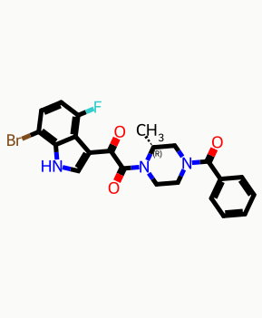 C[C@@H]1CN(C(=O)c2ccccc2)CCN1C(=O)C(=O)c1c[nH]c2c(Br)ccc(F)c12